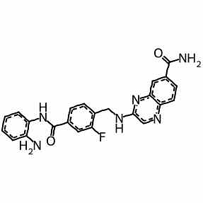 NC(=O)c1ccc2ncc(NCc3ccc(C(=O)Nc4ccccc4N)cc3F)nc2c1